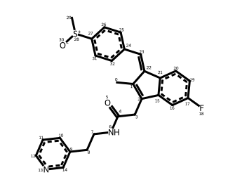 CC1=C(CC(=O)NCCc2cccnc2)c2cc(F)ccc2C1=Cc1ccc([S+](C)[O-])cc1